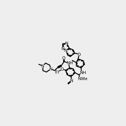 C=Nc1cc(OCC)c(NC(=O)C#CCN2CCN(C)CC2)cc1C(NC)Nc1ccc(Oc2ccn3ncnc3c2)c(C)c1